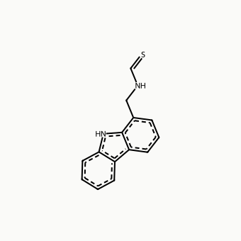 S=CNCc1cccc2c1[nH]c1ccccc12